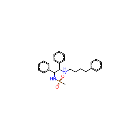 CS(=O)(=O)NC(c1ccccc1)C(NCCCCc1ccccc1)c1ccccc1